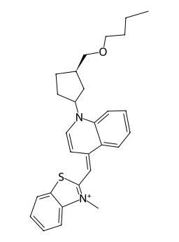 CCCCOC[C@@H]1CCC(N2C=C/C(=C\c3sc4ccccc4[n+]3C)c3ccccc32)C1